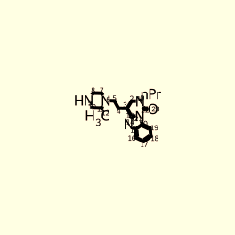 CCCN1CC(CCN2CCNCC2C)c2nc3ccccc3n2C1=O